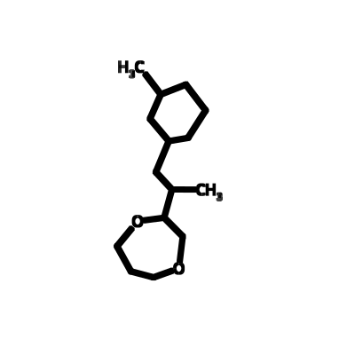 CC1CCCC(CC(C)C2COCCCO2)C1